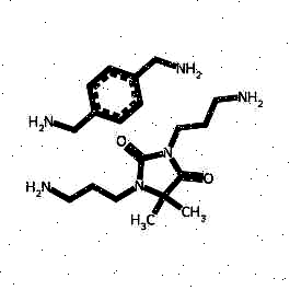 CC1(C)C(=O)N(CCCN)C(=O)N1CCCN.NCc1ccc(CN)cc1